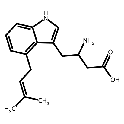 CC(C)=CCc1cccc2[nH]cc(CC(N)CC(=O)O)c12